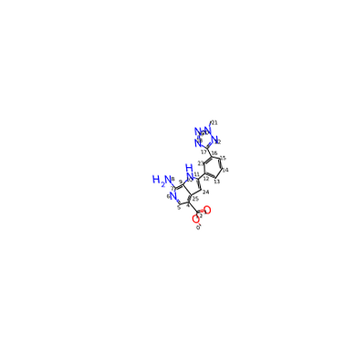 COC(=O)c1cnc(N)c2[nH]c(-c3cccc(-c4nnn(C)n4)c3)cc12